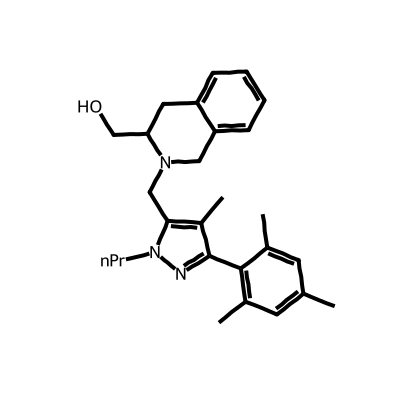 CCCn1nc(-c2c(C)cc(C)cc2C)c(C)c1CN1Cc2ccccc2CC1CO